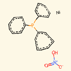 O=[N+]([O-])O.[Ni].c1ccc(P(c2ccccc2)c2ccccc2)cc1